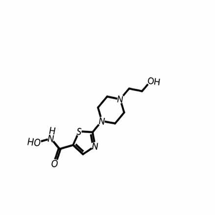 O=C(NO)c1cnc(N2CCN(CCO)CC2)s1